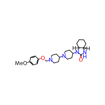 COc1ccc(OCN2CCC(N3CCC(N4C(=O)N[C@H]5CCCC[C@@H]54)CC3)CC2)cc1